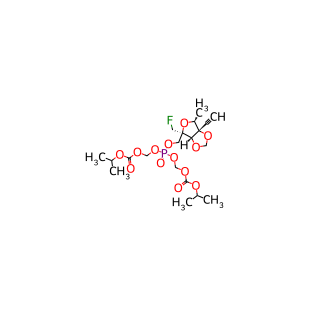 C#C[C@@]12OCO[C@@H]1[C@@](CF)(COP(=O)(OCOC(=O)OC(C)C)OCOC(=O)OC(C)C)O[C@H]2C